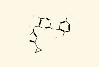 COc1ccc(OC)c(Nc2ncc(Br)c(Nc3cc(C4CC4)n[nH]3)n2)c1